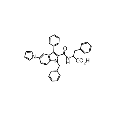 O=C(NC(Cc1ccccc1)C(=O)O)c1c(-c2ccccc2)c2cc(-n3cccc3)ccc2n1Cc1ccccc1